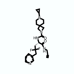 C#CCNC(=O)[C@H](CC(F)(F)Cc1cccnc1)NC(=O)N1CC2(CCN(C3CC3)CC2)C1